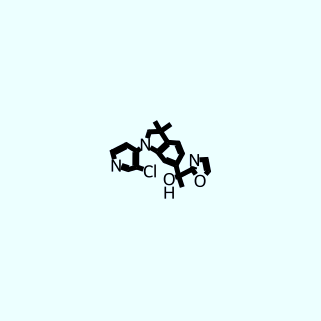 CC1(C)CN(c2ccncc2Cl)c2cc(C(C)(O)c3ncco3)ccc21